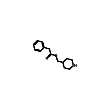 O=C(Cc1ccccc1)OCC1CCNCC1